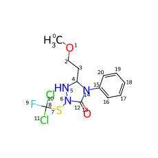 COCCC1NN(SC(F)(Cl)Cl)C(=O)N1c1ccccc1